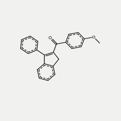 COc1ccc(C(=O)C2=C(c3ccccc3)c3ccccc3C2)cc1